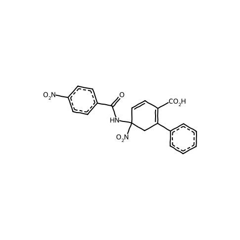 O=C(O)C1=C(c2ccccc2)CC(NC(=O)c2ccc([N+](=O)[O-])cc2)([N+](=O)[O-])C=C1